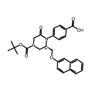 CC(C)(C)OC(=O)N1CC(=O)N(c2ccc(C(=O)O)cc2)[C@@H](COc2ccc3ccccc3c2)C1